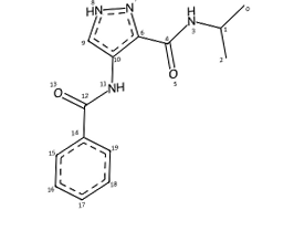 CC(C)NC(=O)c1n[nH]cc1NC(=O)c1ccccc1